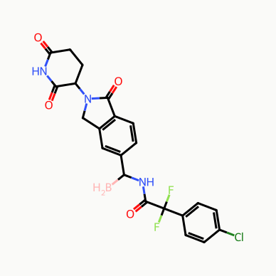 BC(NC(=O)C(F)(F)c1ccc(Cl)cc1)c1ccc2c(c1)CN(C1CCC(=O)NC1=O)C2=O